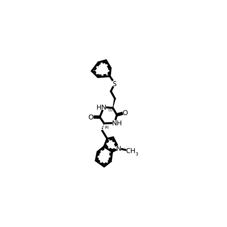 Cn1cc(C[C@H]2NC(=O)[C@H](CCSc3ccccc3)NC2=O)c2ccccc21